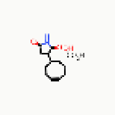 O=C(O)O.O=C1CC(C2CCC#CCCC2)C(=O)N1